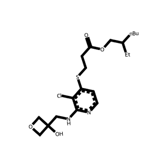 CCCCC(CC)COC(=O)CCSc1ccnc(NCC2(O)COC2)c1Cl